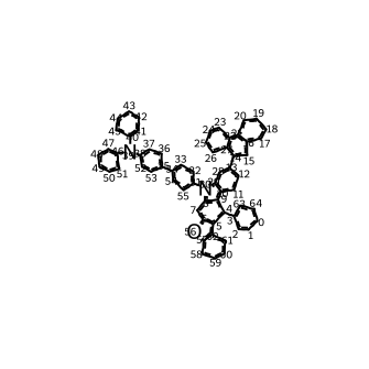 c1ccc(-c2c3c(cc4c2c2ccc(-c5cc6ccccc6c6ccccc56)cc2n4-c2ccc(-c4ccc(N(c5ccccc5)c5ccccc5)cc4)cc2)oc2ccccc23)cc1